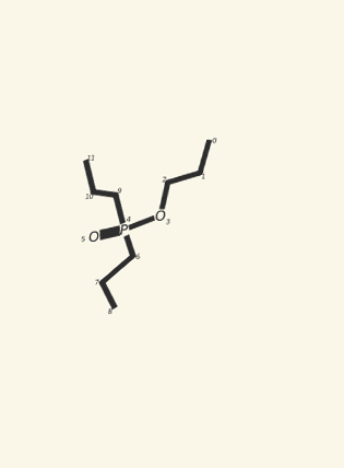 CCCOP(=O)(CCC)CCC